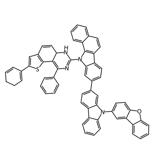 C1=CC(c2cc3c(s2)C2=C(c4ccccc4)N=C(n4c5cc(-c6ccc7c8ccccc8n(-c8ccc9oc%10ccccc%10c9c8)c7c6)ccc5c5ccc6ccccc6c54)NC2C=C3)=CCC1